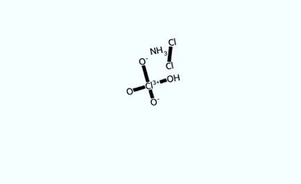 ClCl.N.[O-][Cl+3]([O-])([O-])O